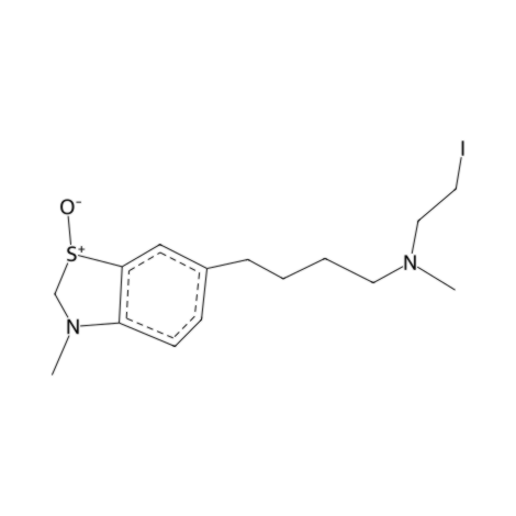 CN(CCI)CCCCc1ccc2c(c1)[S+]([O-])CN2C